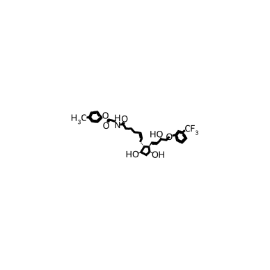 Cc1ccc(OC(=O)CNC(=O)CCC/C=C\C[C@@H]2[C@@H](/C=C/[C@@H](O)COc3cccc(C(F)(F)F)c3)[C@H](O)C[C@@H]2O)cc1